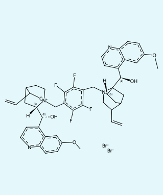 C=CC1C[N+]2(Cc3c(F)c(F)c(C[N+]45CCC(C[C@H]4[C@H](O)c4ccnc6ccc(OC)cc46)C(C=C)C5)c(F)c3F)CCC1C[C@H]2[C@H](O)c1ccnc2ccc(OC)cc12.[Br-].[Br-]